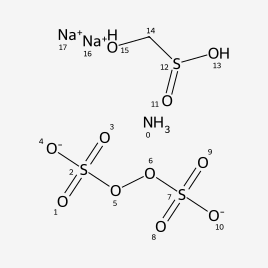 N.O=S(=O)([O-])OOS(=O)(=O)[O-].O=S(O)CO.[Na+].[Na+]